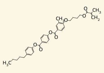 C=C(C)C(=O)OCCCCOc1ccc(C(=O)Oc2ccc(C(=O)Oc3ccc(CCCCC)cc3)cc2)cc1C